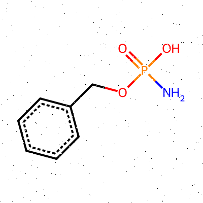 NP(=O)(O)OCc1ccccc1